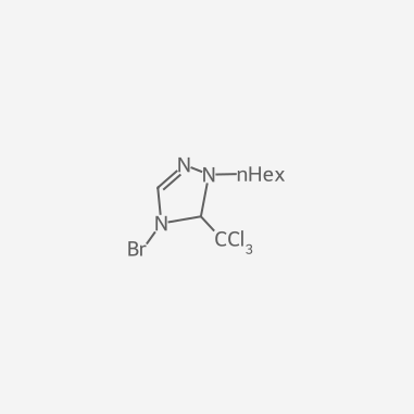 CCCCCCN1N=CN(Br)C1C(Cl)(Cl)Cl